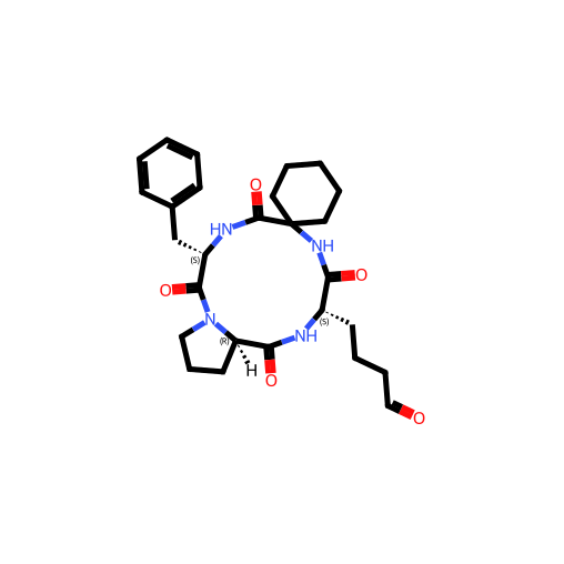 O=CCCC[C@@H]1NC(=O)[C@H]2CCCN2C(=O)[C@H](Cc2ccccc2)NC(=O)C2(CCCCC2)NC1=O